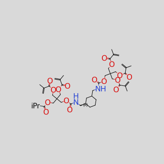 C=C(C)C(=O)OCC(COC(=O)NCC1CCC[C@@H](CNC(=O)OCC(COC(=O)C(=C)C)(COC(=O)C(=C)C)COC(=O)C(C)C)C1)(COC(=O)C(=C)C)COC(=O)C(=C)C